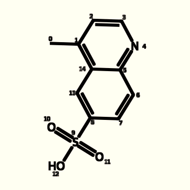 Cc1ccnc2ccc(S(=O)(=O)O)cc12